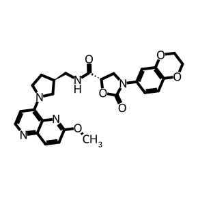 COc1ccc2nccc(N3CC[C@@H](CNC(=O)[C@@H]4CN(c5ccc6c(c5)OCCO6)C(=O)O4)C3)c2n1